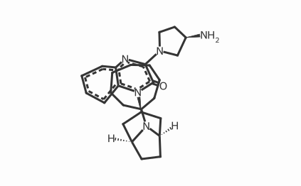 N[C@@H]1CCN(c2nc3ccccc3n([C@H]3C[C@H]4CC[C@@H](C3)N4C3CCCCCCC3)c2=O)C1